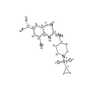 O=S(=O)(C1CC1)N1CCC(Nc2ncc3cc(C(F)F)cc(Br)c3n2)CC1